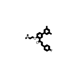 Cc1cc(C)cc(-c2ccc(OCCN(C)C)c(C(=O)C=Cc3ccc(F)cc3)c2)c1